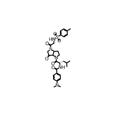 Cc1ccc(S(=O)(=O)NCC(=O)N2CC(=O)C3C2CCN3C(=O)[C@H](CC(C)C)NC(=O)c2ccc(N(C)C)cc2)cc1